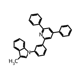 Cc1cn(-c2cccc(-c3cc(-c4ccccc4)cc(-c4ccccc4)n3)c2)c2ccccc12